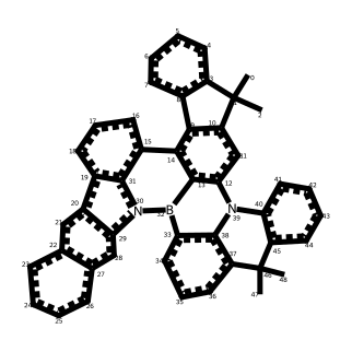 CC1(C)c2ccccc2-c2c1cc1c3c2-c2cccc4c5cc6ccccc6cc5n(c24)B3c2cccc3c2N1c1ccccc1C3(C)C